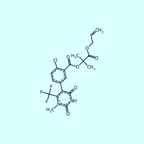 C=CCOC(=O)C(C)(C)OC(=O)c1cc(-c2c(C(F)(F)F)n(C)c(=O)[nH]c2=O)ccc1Cl